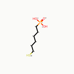 O=P(O)(O)CCCCCCS